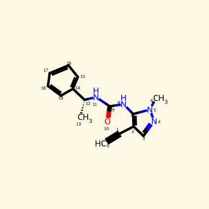 C#Cc1cnn(C)c1NC(=O)N[C@H](C)c1ccccc1